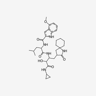 COc1cccc2[nH]c(C(=O)NC(CC(C)C)C(=O)NC(CC3CC4(CCCCC4)NC3=O)C(O)C(=O)NC3CC3)cc12